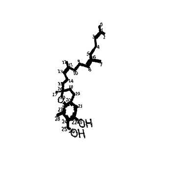 CC(C)=CCCC(C)=CCCC(C)=CCC[C@]1(C)CCc2cc(O)c(CO)c(C)c2O1